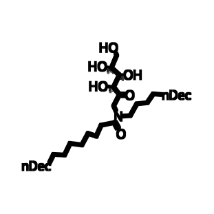 CCCCCCCCCCCCCCCCCC(=O)N(CCCCCCCCCCCCCC)CC(=O)[C@@H](O)[C@@H](O)[C@H](O)CO